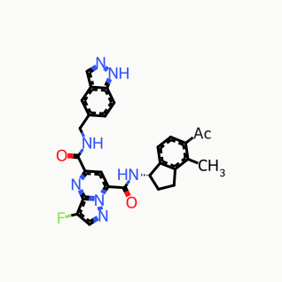 CC(=O)c1ccc2c(c1C)CC[C@@H]2NC(=O)c1cc(C(=O)NCc2ccc3[nH]ncc3c2)nc2c(F)cnn12